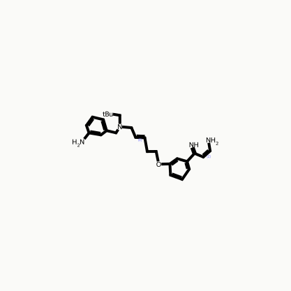 CC(C)(C)CN(C/C=C/CCOc1cccc(C(=N)/C=C\N)c1)Cc1cccc(N)c1